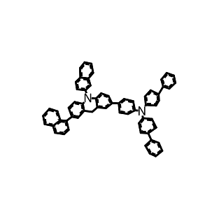 c1ccc(-c2ccc(N(c3ccc(-c4ccccc4)cc3)c3ccc(-c4ccc5c(c4)Cc4cc(-c6cccc7ccccc67)ccc4N5c4ccc5ccccc5c4)cc3)cc2)cc1